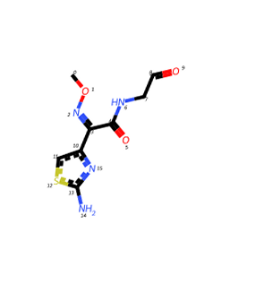 CON=C(C(=O)NC[C]=O)c1csc(N)n1